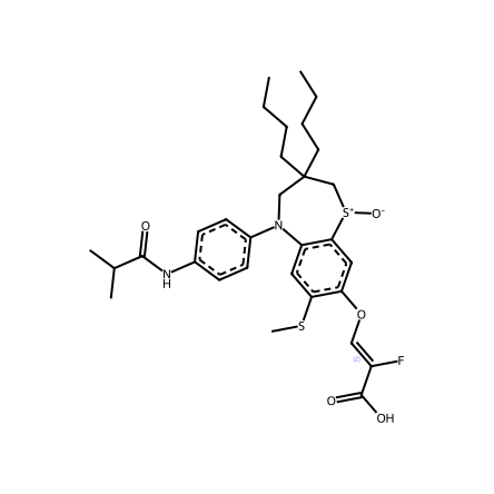 CCCCC1(CCCC)CN(c2ccc(NC(=O)C(C)C)cc2)c2cc(SC)c(O/C=C(\F)C(=O)O)cc2[S+]([O-])C1